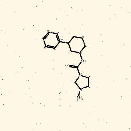 N[C@@H]1CCN(C(=O)OC2CCCC(c3ccccc3)C2)C1